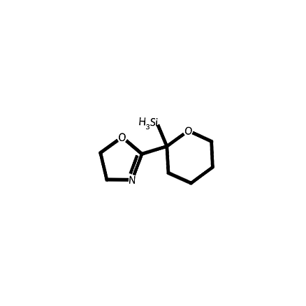 [SiH3]C1(C2=NCCO2)CCCCO1